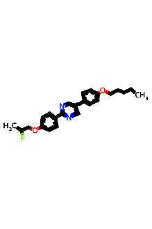 CCCCCOc1ccc(-c2cnc(-c3ccc(OCC(C)F)cc3)nc2)cc1